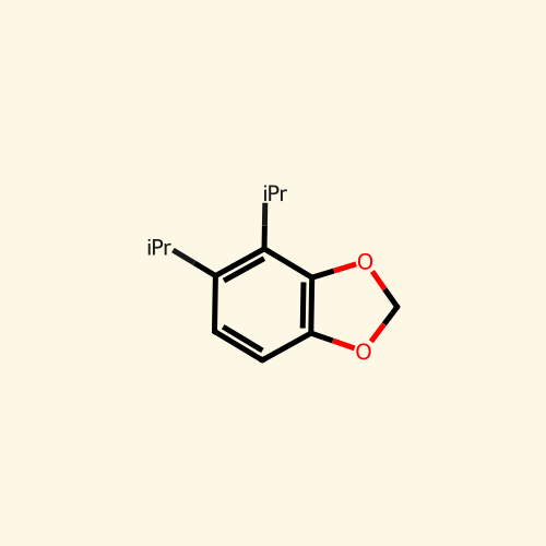 CC(C)c1ccc2c(c1C(C)C)OCO2